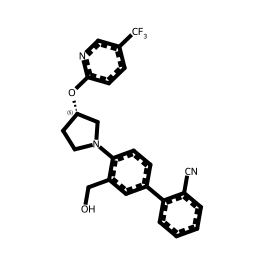 N#Cc1ccccc1-c1ccc(N2CC[C@H](Oc3ccc(C(F)(F)F)cn3)C2)c(CO)c1